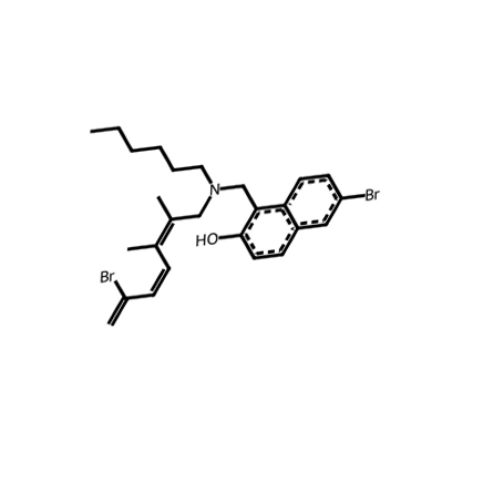 C=C(Br)/C=C\C(C)=C(\C)CN(CCCCCC)Cc1c(O)ccc2cc(Br)ccc12